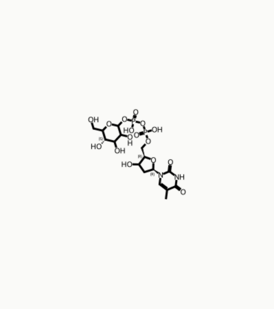 Cc1cn([C@H]2CC(O)[C@@H](COP(=O)(O)OP(=O)(O)OC3OC(CO)[C@@H](O)C(O)C3O)O2)c(=O)[nH]c1=O